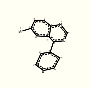 Brc1ccc2ncnc(-c3ccccc3)c2c1